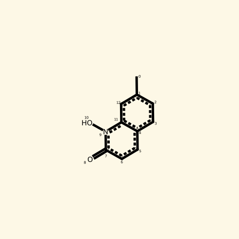 Cc1ccc2ccc(=O)n(O)c2c1